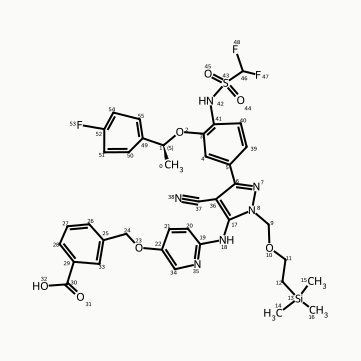 C[C@H](Oc1cc(-c2nn(COCC[Si](C)(C)C)c(Nc3ccc(OCc4cccc(C(=O)O)c4)cn3)c2C#N)ccc1NS(=O)(=O)C(F)F)c1ccc(F)cc1